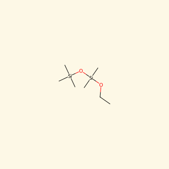 CCO[Si](C)(C)O[Si](C)(C)C